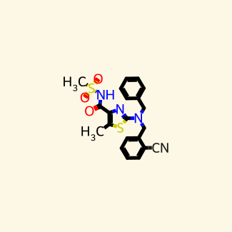 Cc1sc(N(Cc2ccccc2)Cc2ccccc2C#N)nc1C(=O)NS(C)(=O)=O